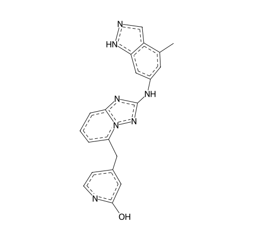 Cc1cc(Nc2nc3cccc(Cc4ccnc(O)c4)n3n2)cc2[nH]ncc12